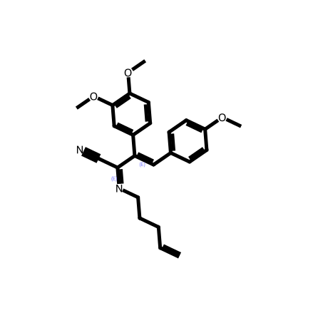 C=CCCC/N=C(C#N)\C(=C\c1ccc(OC)cc1)c1ccc(OC)c(OC)c1